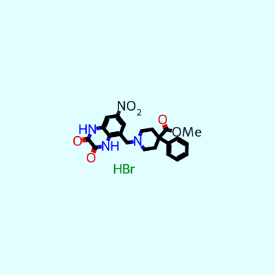 Br.COC(=O)C1(c2ccccc2)CCN(Cc2cc([N+](=O)[O-])cc3[nH]c(=O)c(=O)[nH]c23)CC1